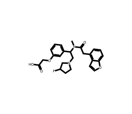 CN(C(=O)Cc1cccc2occc12)C(CN1CCC(F)C1)c1cccc(OCC(=O)O)c1